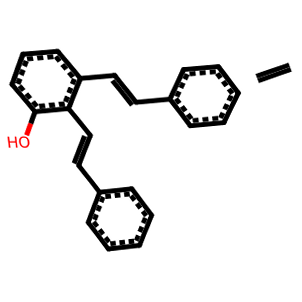 C=C.Oc1cccc(C=Cc2ccccc2)c1C=Cc1ccccc1